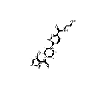 CC(C)CCNC(=O)c1ccc(N2CCN(C(=O)c3[nH]nnc3C(F)(F)F)CC2)nn1